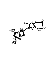 Cc1nc2c(nc1-c1cc3nc(S)nc(O)n3n1)CCCC2